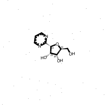 OC[C@@H]1O[C@@H](c2ncccn2)[C@@H](O)[C@H]1O